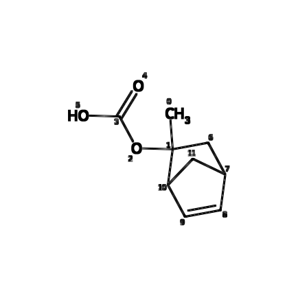 CC1(OC(=O)O)CC2C=CC1C2